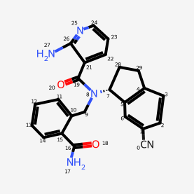 N#Cc1ccc2c(c1)[C@H](N(Cc1ccccc1C(N)=O)C(=O)c1cccnc1N)CC2